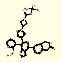 COc1ncccc1-c1c(-c2cnn(C3CN(C(=O)OC(C)(C)C)C3)c2)nc(-c2ccc3c(c2)CNC(=O)C3)c2ccsc12